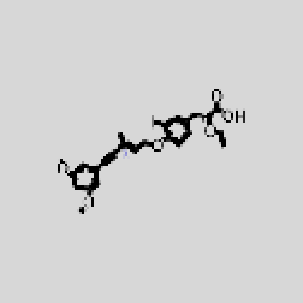 CCO[C@@H](Cc1ccc(OC/C=C(\C)C#Cc2cc(OC)cc(OC)c2)c(I)c1)C(=O)O